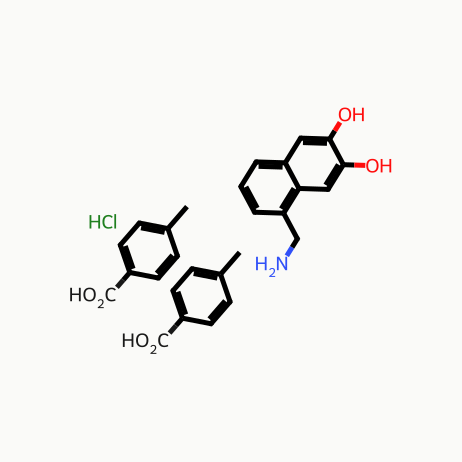 Cc1ccc(C(=O)O)cc1.Cc1ccc(C(=O)O)cc1.Cl.NCc1cccc2cc(O)c(O)cc12